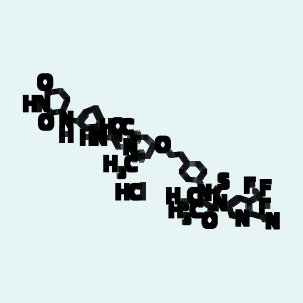 C[C@@H]1CC(OCCC2CCC(N3C(=S)N(c4cnc(C#N)c(C(F)(F)F)c4)C(=O)C3(C)C)CC2)C[C@H](C)N1CC(=O)Nc1cccc(NC2CCC(=O)NC2=O)c1.Cl